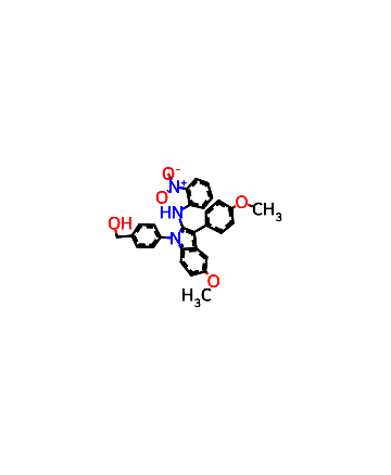 COc1ccc(-c2c(Nc3ccccc3[N+](=O)[O-])n(-c3ccc(CO)cc3)c3ccc(OC)cc23)cc1